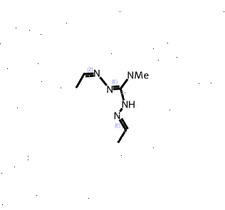 C/C=N\N=C(/NC)N/N=C/C